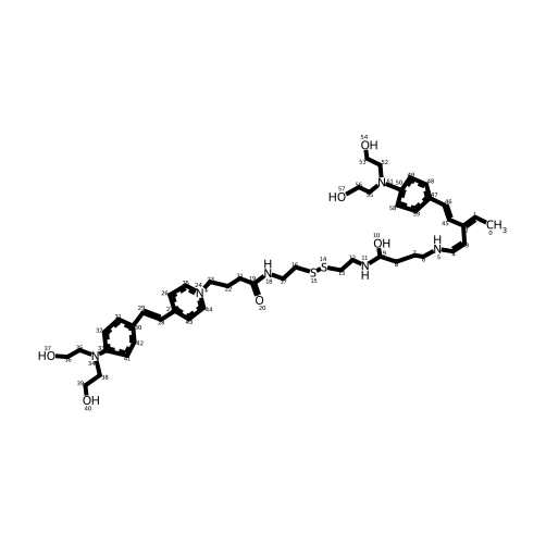 C/C=C(\C=C/NCCCC(O)NCCSSCCNC(=O)CCC[n+]1ccc(/C=C/c2ccc(N(CCO)CCO)cc2)cc1)/C=C/c1ccc(N(CCO)CCO)cc1